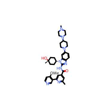 COc1ccncc1-c1cc(C(=O)Nc2nc3ccc(N4CCC(N5CCN(C)CC5)CC4)cc3n2[C@H]2CC[C@@](C)(O)CC2)cc(C)n1